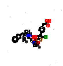 CN(CC(O)CNC(C)(C)CC1Cc2ccccc2C1)S(=O)(=O)c1cc(-c2ccc(CC(=O)O)cc2)c(Cl)s1